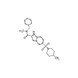 CC1CCN(S(=O)(=O)c2ccc3[nH]c(C(=O)N(C)Cc4ccccc4)cc3c2)CC1